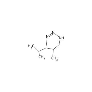 CC(C)C1N=NNCC1C